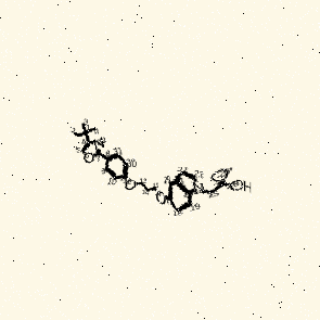 CC(C)(C)c1coc(-c2ccc(OCCCOc3ccc4c(ccn4CC(=O)O)c3)cc2)n1